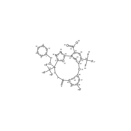 C=C1CCC(OCc2ccccc2)(C(F)(F)F)c2nnc(o2)-c2nc(c(C(F)(F)F)cc2[N+](=O)[O-])Oc2cc(F)cc1c2